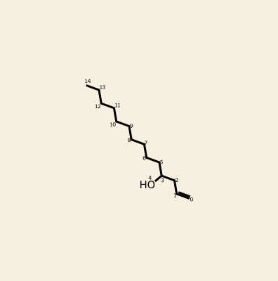 C=CCC(O)CCCCCCCCCC